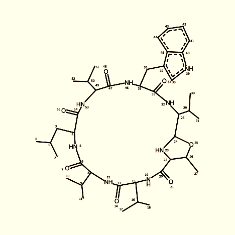 CC(C)CC1NC(=O)C(C(C)C)NC(=O)C(C(C)C)NC(=O)C2NC(OC2C)C(C(C)C)NC(=O)C(Cc2c[nH]c3ccccc23)NC(=O)C(C(C)C)NC1=O